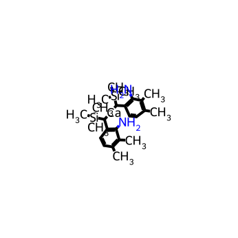 Cc1ccc([CH]([Ca][CH](c2ccc(C)c(C)c2N)[Si](C)(C)C)[Si](C)(C)C)c(N)c1C